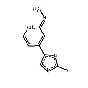 C\C=C/C(=C\C=N\C)c1csc(S)n1